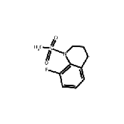 CS(=O)(=O)N1CC[CH]c2cccc(F)c21